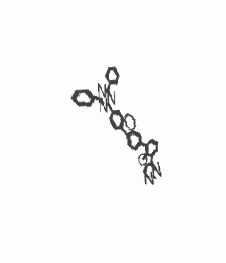 c1ccc(-c2nc(-c3ccccc3)nc(-c3ccc4c(c3)oc3cc(-c5cccc6c5oc5cncnc56)ccc34)n2)cc1